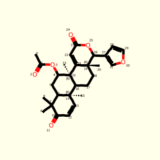 CC(=O)OC1CC2C(C)(C)C(=O)C=C[C@]2(C)C2CC[C@]3(C)C(=CC(=O)OC3c3ccoc3)[C@]12C